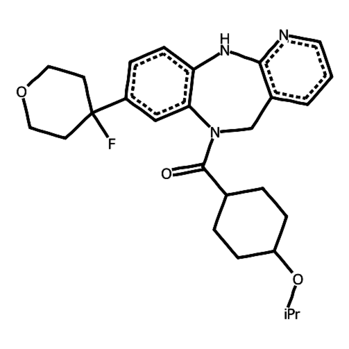 CC(C)OC1CCC(C(=O)N2Cc3cccnc3Nc3ccc(C4(F)CCOCC4)cc32)CC1